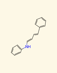 C(C=Cc1ccccc1)=CNc1ccccc1